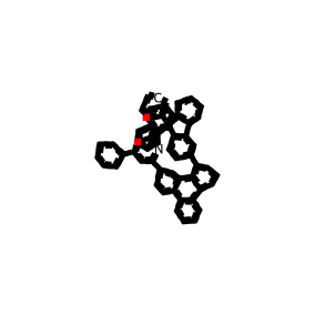 c1ccc(-c2cc(-c3ccccc3)nc(-c3ccc4c5ccccc5c5cccc(-c6ccc7c(c6)-c6ccccc6C7(c6ccccc6)c6ccccc6)c5c4c3)c2)cc1